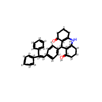 O=C1CCCC2=C1C(c1ccc(C=C(c3ccccc3)c3ccccc3)cc1)C1=C(CCCC1=O)N2